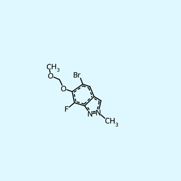 COCOc1c(Br)cc2cn(C)nc2c1F